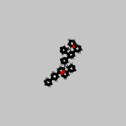 C1=CC(n2c3ccccc3c3c(-c4cccc(N(c5ccc(-c6ccc(-c7ccccc7)cc6)cc5)c5ccccc5-c5ccccc5)c4)ccc(-c4ccccc4)c32)=CCC1